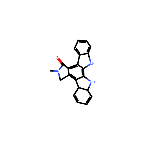 CN1Cc2c3c(c4[nH]c5ccccc5c4c2C1=O)NC1C=CC=CC31